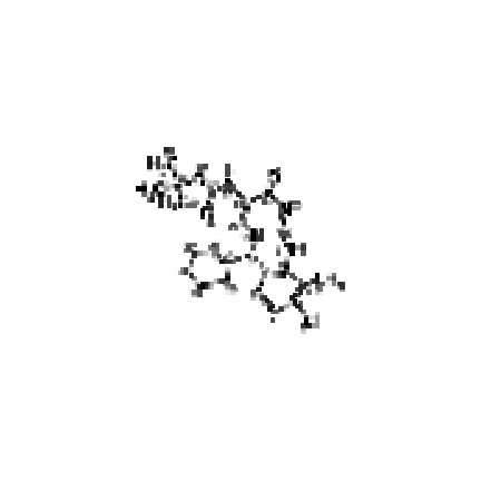 Cc1c(Cl)cccc1Nc1nc(=O)c(NC(=O)OC(C)(C)C)cn1CC1=CCCC=C1